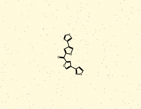 O=C(c1cc(-c2ccsc2)co1)c1cc(-c2ccsc2)co1